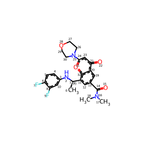 C[C@@H](Nc1ccc(F)c(F)c1)c1cc(C(=O)N(C)C)cc2c(=O)cc(N3CCOCC3)oc12